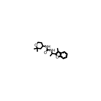 Cc1c(C(C)NC(=O)NC2CCOC(C)(C)C2)oc2ccccc12